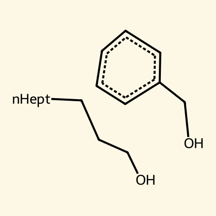 CCCCCCCCCCO.OCc1ccccc1